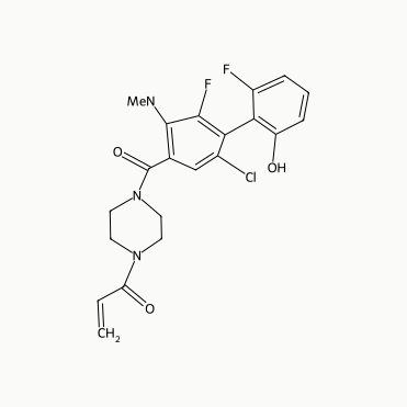 C=CC(=O)N1CCN(C(=O)c2cc(Cl)c(-c3c(O)cccc3F)c(F)c2NC)CC1